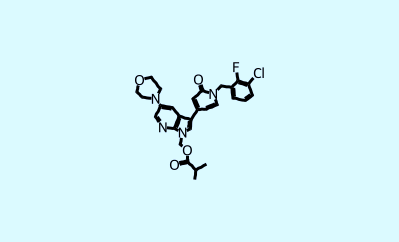 CC(C)C(=O)OCn1cc(-c2ccn(Cc3cccc(Cl)c3F)c(=O)c2)c2cc(N3CCOCC3)cnc21